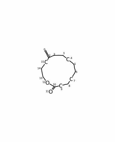 C=C1CCCCCCCCC(=O)OCCC1